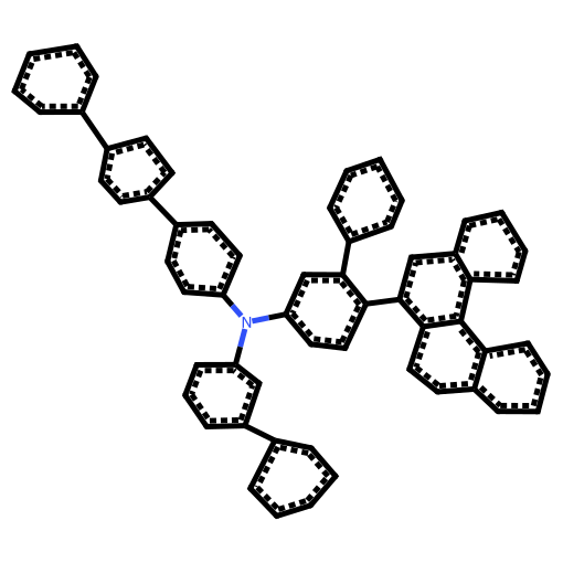 c1ccc(-c2ccc(-c3ccc(N(c4cccc(-c5ccccc5)c4)c4ccc(-c5cc6ccccc6c6c5ccc5ccccc56)c(-c5ccccc5)c4)cc3)cc2)cc1